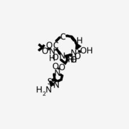 CC(C)(C)OC(=O)N[C@H]1CCCCC/C=C\[C@@H]2C[C@@]2(C(=O)O)NC(=O)[C@@H]2C[C@@H](OC(=O)N3CCc4nc(N)sc4C3)CN2C1=O